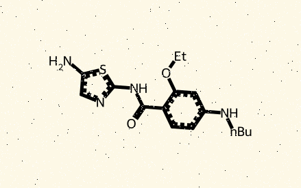 CCCCNc1ccc(C(=O)Nc2ncc(N)s2)c(OCC)c1